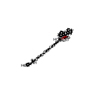 CC1=CC(C)(C)N2CCCc3c4c(cc1c32)C1(OC(=O)c2c(Cl)c(Cl)c(SCC(=O)NCCOCCOCCOCCOCCOCCOCCOCCOCCC(=O)NCCc3ccc(O)cc3)c(Cl)c21)c1cc2c3c(c1O4)CCCN3C(C)(C)C=C2CS(=O)(=O)O